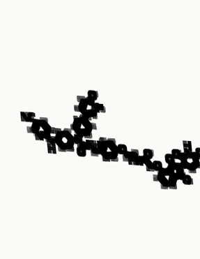 Cn1cc(-c2ccc(N(C(=O)NCc3ccc(OCCNC(=O)COc4cccc5c4C(=O)N(C4CCC(=O)NC4=O)C5=O)cc3)[C@H]3CC[C@H](Nc4ccc(C#N)cn4)CC3)cc2)ccc1=O